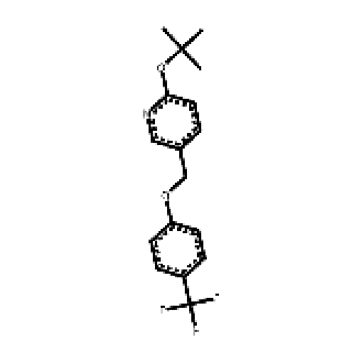 CC(C)(C)Oc1ccc(COc2ccc(C(F)(F)F)cc2)cn1